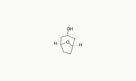 OC1C[C@H]2CC[C@@H](C1)O2